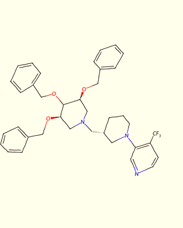 FC(F)(F)c1ccncc1N1CCC[C@@H](CN2C[C@H](OCc3ccccc3)C(OCc3ccccc3)[C@H](OCc3ccccc3)C2)C1